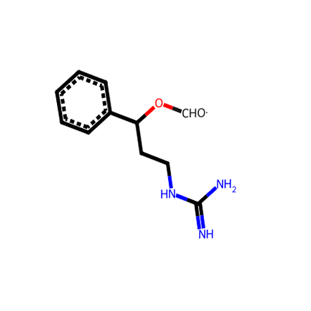 N=C(N)NCCC(O[C]=O)c1ccccc1